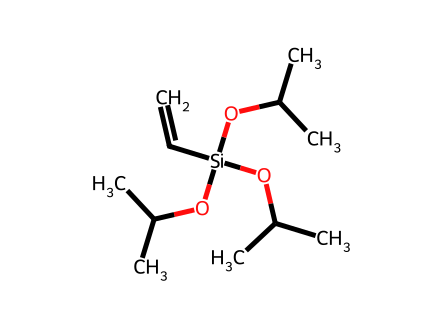 C=C[Si](OC(C)C)(OC(C)C)OC(C)C